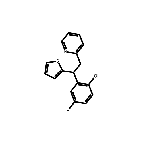 Oc1ccc(F)cc1C(Cc1ccccn1)c1cccs1